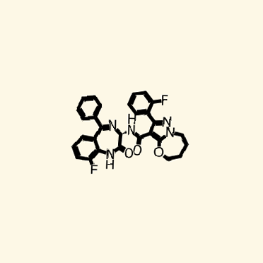 O=C(N[C@H]1N=C(c2ccccc2)c2cccc(F)c2NC1=O)c1c(-c2ccccc2F)nn2c1OCCCC2